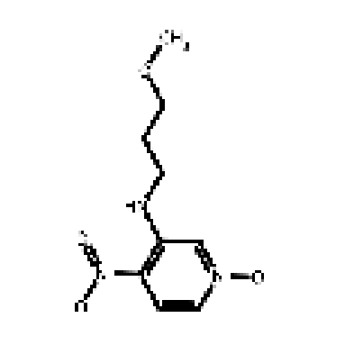 COCCCNc1c[n+]([O-])ccc1[N+](=O)[O-]